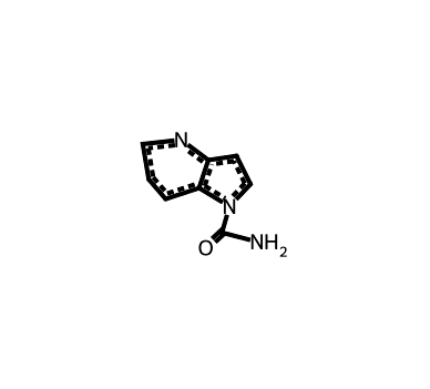 NC(=O)n1ccc2ncccc21